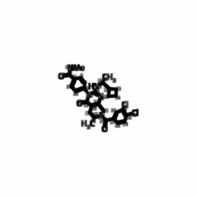 CNC(=O)c1ccc(-n2c(N[C@@H](C)C3CCC3)nc3c(c2=O)C[C@@H](C)N(C(=O)c2ccc(Cl)c(Cl)c2)C3)cc1